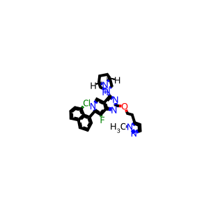 Cn1nccc1CCOc1nc(N2C[C@H]3CC[C@@H](C2)N3)c2cnc(-c3cccc4cccc(Cl)c34)c(F)c2n1